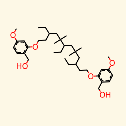 CCC(CCOc1cc(OC)ccc1CO)CC(C)(C)CC(CC)C(C)(C)CC(CC)CCOc1cc(OC)ccc1CO